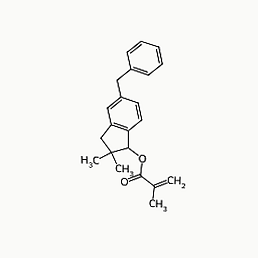 C=C(C)C(=O)OC1c2ccc(Cc3ccccc3)cc2CC1(C)C